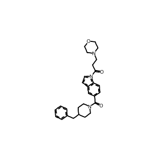 O=C(c1ccc2c(ccn2C(=O)CCN2CCOCC2)c1)N1CCC(Cc2ccccc2)CC1